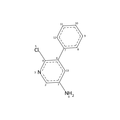 Nc1cnc(Cl)c(-c2ccccc2)c1